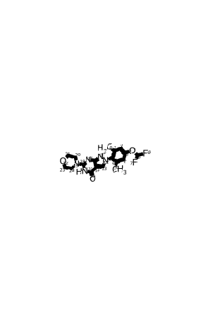 Cc1cc(OC(F)F)cc(C)c1-n1cc2c(=O)[nH]c(N3CCOCC3)nc2n1